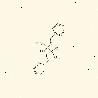 O=C(O)C(O)(OCc1ccccc1)C(O)(OCc1ccccc1)C(=O)O